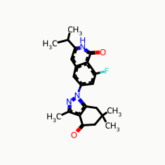 Cc1nn(-c2cc(F)c3c(=O)[nH]c(C(C)C)cc3c2)c2c1C(=O)CC(C)(C)C2